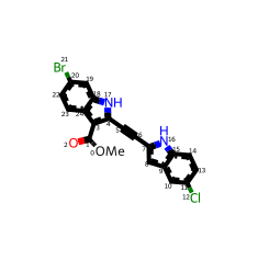 COC(=O)c1c(C#Cc2cc3cc(Cl)ccc3[nH]2)[nH]c2cc(Br)ccc12